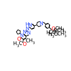 CC(=O)c1c(C)c2cnc(Nc3ccc(C4CCN(Cc5ccc([C@H](C)O[Si](C)(C)C(C)(C)C)cc5)CC4)cn3)nc2n(C2CCCC2)c1=O